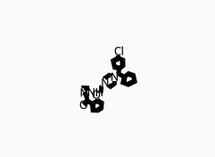 O=C(c1ncc[nH]1)c1ccccc1OCCN1CCN(C(c2ccccc2)c2ccc(Cl)cc2)CC1